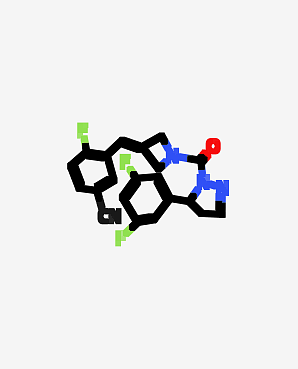 N#Cc1ccc(F)c(C=C2CN(C(=O)N3N=CCC3c3cc(F)cc(F)c3)C2)c1